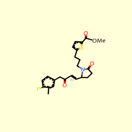 COC(=O)c1ccc(CCCN2C(=O)CCC2/C=C/C(=O)Cc2ccc(F)c(C)c2)s1